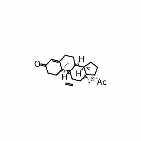 C=C.CC(=O)[C@H]1CC[C@H]2[C@@H]3CCC4=CC(=O)CC[C@]4(C)[C@H]3CC[C@]12C